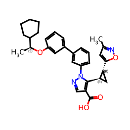 Cc1cc([C@@H]2C[C@H]2c2c(C(=O)O)cnn2-c2cccc(-c3cccc(O[C@@H](C)C4CCCCC4)c3)c2)on1